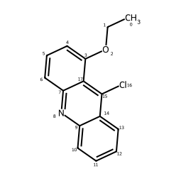 CCOc1cccc2nc3ccccc3c(Cl)c12